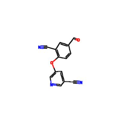 N#Cc1cncc(Oc2ccc(C=O)cc2C#N)c1